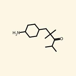 CC(C)C(=O)C(C)(C)CC1CCC(N)CC1